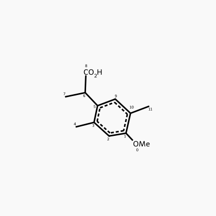 COc1cc(C)c(C(C)C(=O)O)cc1C